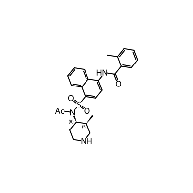 CC(=O)N([C@@H]1CCNC[C@@H]1C)S(=O)(=O)c1ccc(NC(=O)c2ccccc2C)c2ccccc12